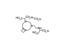 CC(=O)O.O=C(O)C(NCCN1CCN(C(C(=O)O)C(=O)O)CCN2CCN2CC1)C(=O)O